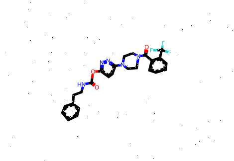 O=C(NCCc1ccccc1)Oc1ccc(N2CCN(C(=O)c3ccccc3C(F)(F)F)CC2)nn1